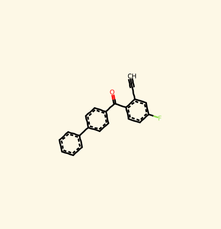 C#Cc1cc(F)ccc1C(=O)c1ccc(-c2ccccc2)cc1